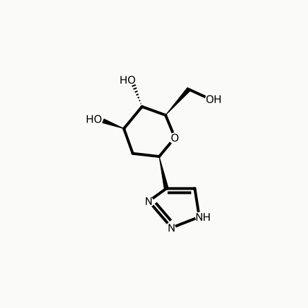 OC[C@H]1O[C@@H](c2c[nH]nn2)C[C@@H](O)[C@@H]1O